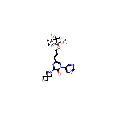 CC(C)(C)[Si](C)(C)OC/C=C/c1cn(-c2cncnc2)c(=O)c(N2CC3(COC3)C2)n1